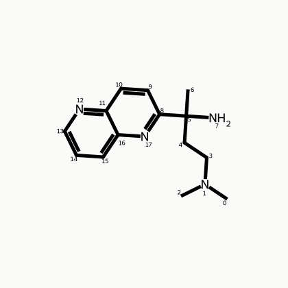 CN(C)CCC(C)(N)c1ccc2ncccc2n1